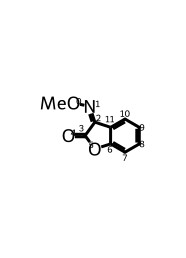 CO/N=C1\C(=O)Oc2ccccc21